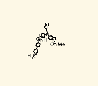 CCOCCCN(c1ccnc(NC(=O)c2ccc(C3CCN(C)CC3)cc2)c1)c1ccc2c(ccn2C(=O)NC)c1